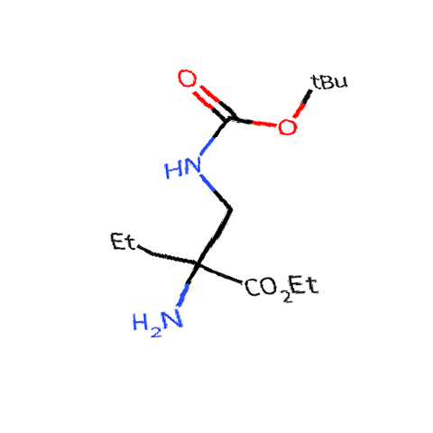 CCOC(=O)C(N)(CC)CNC(=O)OC(C)(C)C